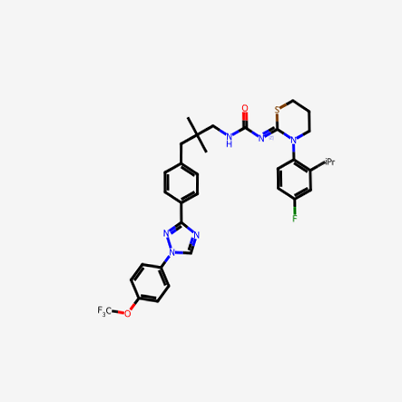 CC(C)c1cc(F)ccc1N1CCCS/C1=N\C(=O)NCC(C)(C)Cc1ccc(-c2ncn(-c3ccc(OC(F)(F)F)cc3)n2)cc1